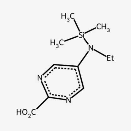 CCN(c1cnc(C(=O)O)nc1)[Si](C)(C)C